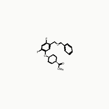 COC(=O)[C@H]1CC[C@@H](Oc2cc(COCc3ccccc3)c(F)cc2F)CC1